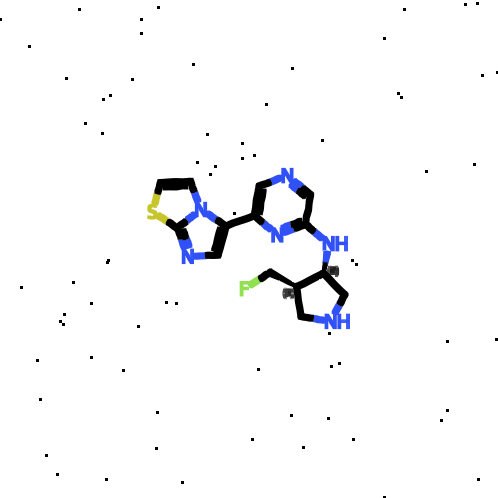 FC[C@@H]1CNC[C@@H]1Nc1cncc(-c2cnc3sccn23)n1